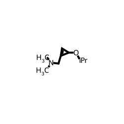 CC(C)OC1C=C1CN(C)C